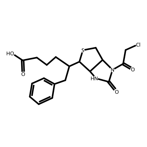 O=C(O)CCCC(Cc1ccccc1)C1SCC2C1NC(=O)N2C(=O)CCl